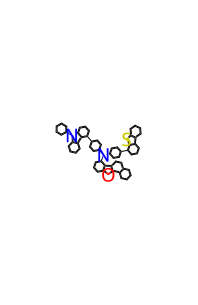 c1ccc(-n2c3ccccc3c3c(-c4ccc(N(c5ccc(-c6cccc7c6sc6ccccc67)cc5)c5cccc6oc7c8ccccc8ccc7c56)cc4)cccc32)cc1